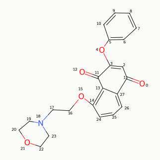 O=C1C=C(Oc2ccccc2)C(=O)c2c(OCCN3CCOCC3)cccc21